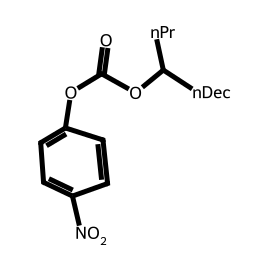 CCCCCCCCCCC(CCC)OC(=O)Oc1ccc([N+](=O)[O-])cc1